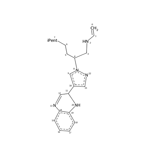 C=CNCC(CCC(C)CCC)n1cc(C2C=Nc3ccccc3N2)cn1